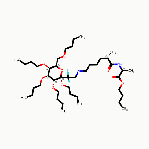 CCCCOC[C@H]1O[C@@](OCCCC)(C(F)(F)CNCCCC[C@H](C)C(=O)N[C@@H](C)C(=O)OCCCC)[C@H](OCCCC)[C@@H](OCCCC)[C@H]1OCCCC